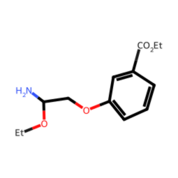 CCOC(=O)c1cccc(OCC(N)OCC)c1